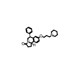 O=C1CC[C@H]2c3ccc(OCCCN4CCCCC4)cc3[C@H](c3ccccc3)CN12